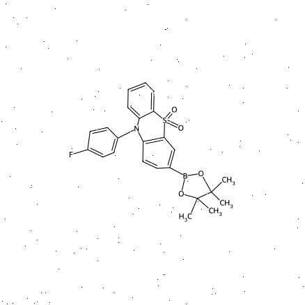 CC1(C)OB(c2ccc3c(c2)S(=O)(=O)c2ccccc2N3c2ccc(F)cc2)OC1(C)C